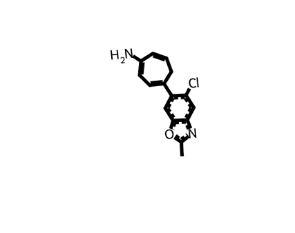 Cc1nc2cc(Cl)c(C3=CC=C(N)C=CC3)cc2o1